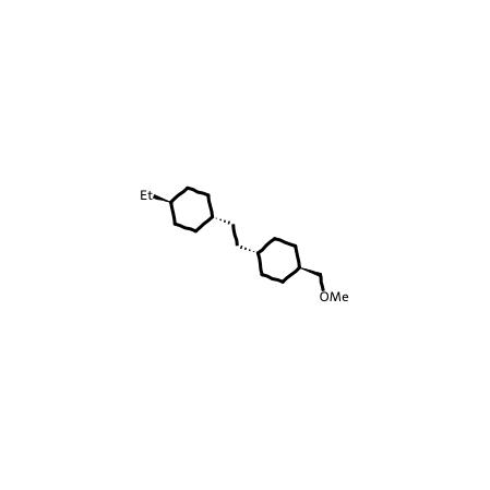 CC[C@H]1CC[C@H](CC[C@H]2CC[C@H](COC)CC2)CC1